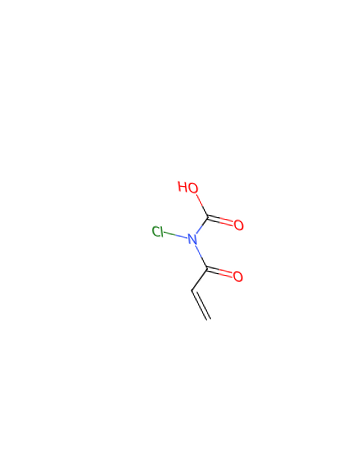 C=CC(=O)N(Cl)C(=O)O